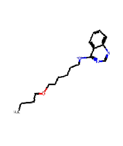 CCCCOCCCCCCNc1ncnc2ccccc12